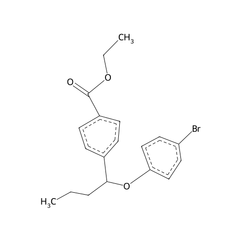 CCCC(Oc1ccc(Br)cc1)c1ccc(C(=O)OCC)cc1